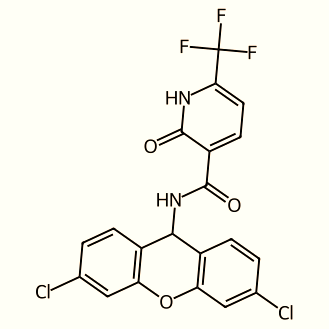 O=C(NC1c2ccc(Cl)cc2Oc2cc(Cl)ccc21)c1ccc(C(F)(F)F)[nH]c1=O